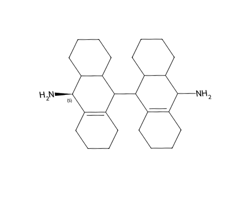 NC1C2=C(CCCC2)C(C2C3=C(CCCC3)[C@@H](N)C3CCCCC23)C2CCCCC12